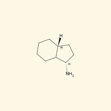 N[C@H]1CC[C@H]2CCCCC21